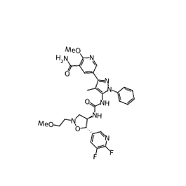 COCCN1C[C@@H](NC(=O)Nc2c(C)c(-c3cnc(OC)c(C(N)=O)c3)nn2-c2ccccc2)[C@H](c2cnc(F)c(F)c2)O1